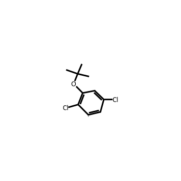 CC(C)(C)Oc1cc(Cl)c[c]c1Cl